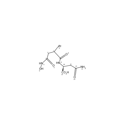 CC(C)C(CC(=O)NO)C(=O)N[C@@H](CC(N)=O)C(=O)O